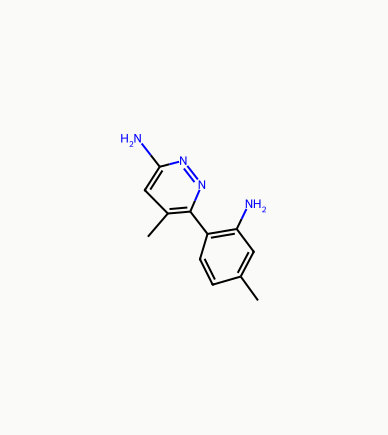 Cc1ccc(-c2nnc(N)cc2C)c(N)c1